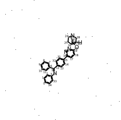 c1ccc(N=C(c2ccccc2)c2ccc(-c3ccc(O[C@H]4CN5CCC4CC5)nn3)cc2)cc1